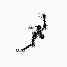 COc1ccccc1Oc1c(NS(=O)(=O)c2ccc(C(C)(C)COC(=O)OCCCCCCO[N+](=O)[O-])cc2)nc(-c2ncccn2)nc1OCCOC(=O)OCCCCCCO[N+](=O)[O-]